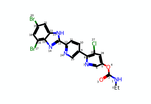 CCNC(=O)Oc1cnc(-c2ccc(-c3nc4c(Br)cc(Br)cc4[nH]3)nc2)c(Cl)c1